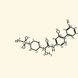 CCCS(=O)(=O)N1CCC(N(C)C(=O)Nc2cnc(-c3cccc(F)c3)c(Cl)c2)CC1